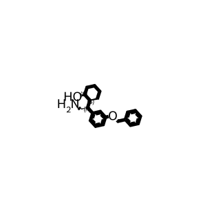 NC[C@@H](c1cccc(OCc2ccccc2)c1)[C@@H]1CCCC[C@@H]1O